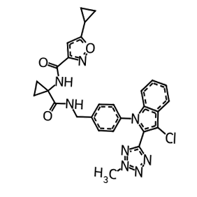 Cn1nnc(-c2c(Cl)c3ccccc3n2-c2ccc(CNC(=O)C3(NC(=O)c4cc(C5CC5)on4)CC3)cc2)n1